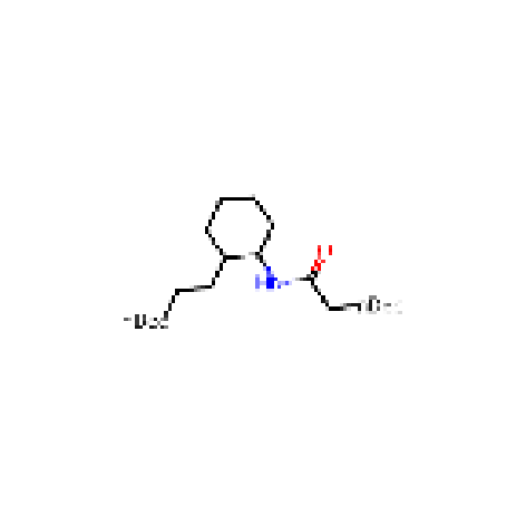 CCCCCCCCCCCCC1CCCCC1NC(=O)CCCCCCCCCCC